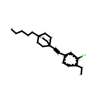 CCCCCC12CCC(C#Cc3ccc(CC)c(F)c3)(CC1)CC2